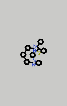 c1ccc(-c2nc(-c3cccc(-c4cccc(-c5cccc(-c6nc7ccccc7n6-c6ccccc6)c5)c4)c3)nc3sc4ccccc4c23)cc1